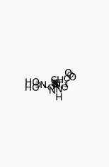 Cn1nc(Nc2cccc(-c3ccc4c(c3)OCCO4)c2Br)c2ncc(C=NC(CO)CO)cc21